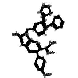 CCCCc1nc2cc(-c3ccc(OC)cc3)c(C(OC)OC)nc2n1Cc1ccc(-c2ccccc2)c(-c2nnn[nH]2)c1